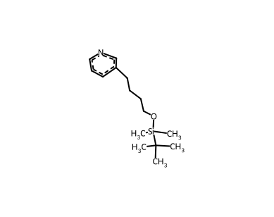 CC(C)(C)[Si](C)(C)OCCCCc1cccnc1